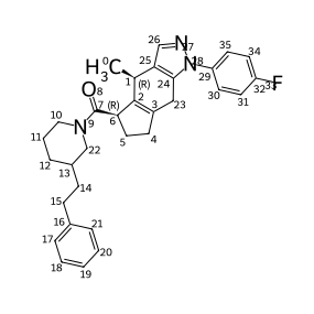 C[C@@H]1C2=C(CC[C@H]2C(=O)N2CCCC(CCc3ccccc3)C2)Cc2c1cnn2-c1ccc(F)cc1